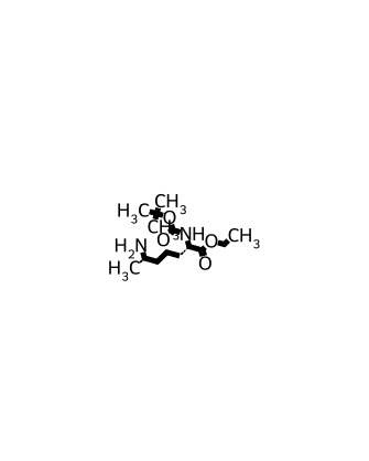 CCOC(=O)[C@H](CCC[C@H](C)N)NC(=O)OC(C)(C)C